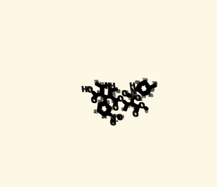 COC(=O)C(C(C)OC(=O)C1=C(C)NC(C)=C(C(=O)O)C1c1cccc([N+](=O)[O-])c1)S(=O)(=O)Nc1ccc(C)cc1